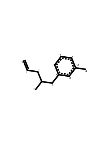 C=CCC(C)Cc1cccc(C)c1